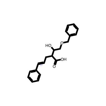 O=C(O)C(C/C=C/c1ccccc1)C(O)COCc1ccccc1